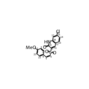 COc1ccc(/C=C\S(=O)(=O)c2cc3ccc(Cl)cc3[nH]c2=O)cc1